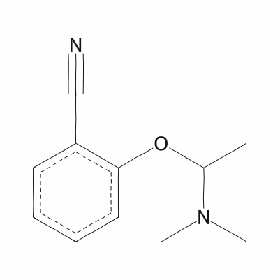 CC(Oc1ccccc1C#N)N(C)C